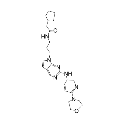 O=C(CC1CCCC1)NCCCn1ccc2cnc(Nc3ccc(N4CCOCC4)nc3)nc21